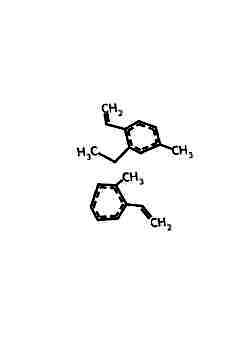 C=Cc1ccc(C)cc1CC.C=Cc1ccccc1C